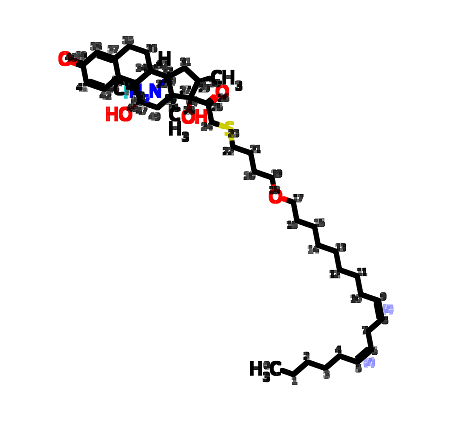 CCCCC/C=C\C/C=C\CCCCCCCCOCCCCSCC(=O)[C@@]1(O)[C@H](C)C[C@@]2(N)[C@@H]3CCC4=CC(=O)C=C[C@]4(C)[C@@]3(F)[C@@H](O)C[C@@]21C